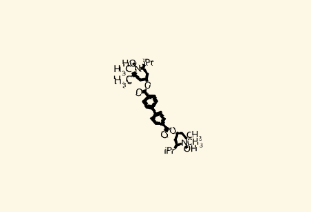 CC(C)C1CC(OC(=O)c2ccc(-c3ccc(C(=O)OC4CC(C(C)C)N(O)C(C)(C)C4)cc3)cc2)CC(C)(C)N1O